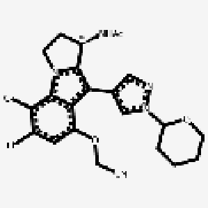 CC(=O)N[C@@H]1CCn2c1c(-c1cnn(C3CCCCO3)c1)c1c(OCC#N)cc(Cl)c(Cl)c12